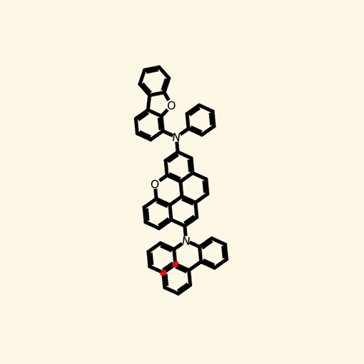 c1ccc(-c2ccccc2N(c2ccccc2)c2cc3ccc4cc(N(c5ccccc5)c5cccc6c5oc5ccccc56)cc5c4c3c3c(cccc23)O5)cc1